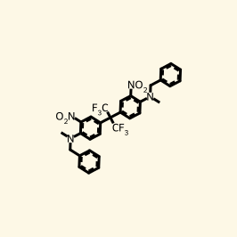 CN(Cc1ccccc1)c1ccc(C(c2ccc(N(C)Cc3ccccc3)c([N+](=O)[O-])c2)(C(F)(F)F)C(F)(F)F)cc1[N+](=O)[O-]